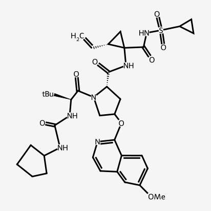 C=C[C@@H]1CC1(NC(=O)[C@@H]1CC(Oc2nccc3cc(OC)ccc23)CN1C(=O)[C@@H](NC(=O)NC1CCCC1)C(C)(C)C)C(=O)NS(=O)(=O)C1CC1